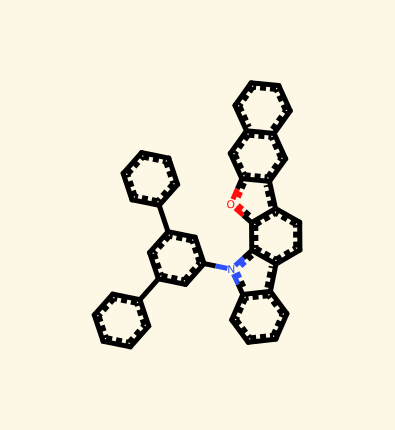 c1ccc(-c2cc(-c3ccccc3)cc(-n3c4ccccc4c4ccc5c6cc7ccccc7cc6oc5c43)c2)cc1